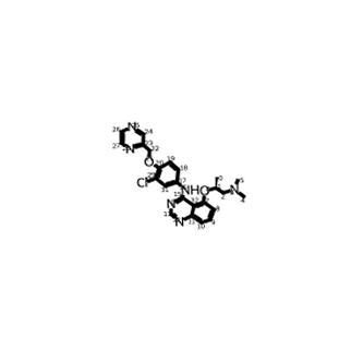 C[C@@H](CN(C)C)Oc1cccc2ncnc(Nc3ccc(OCc4cnccn4)c(Cl)c3)c12